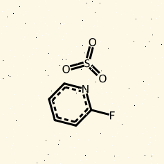 Fc1ccccn1.O=S(=O)=O